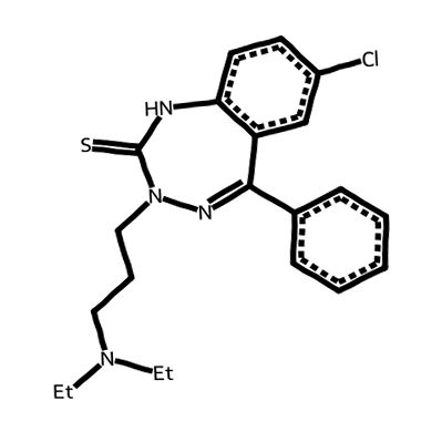 CCN(CC)CCCN1N=C(c2ccccc2)c2cc(Cl)ccc2NC1=S